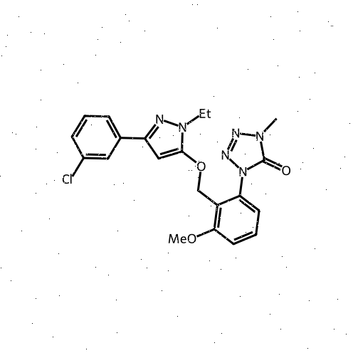 CCn1nc(-c2cccc(Cl)c2)cc1OCc1c(OC)cccc1-n1nnn(C)c1=O